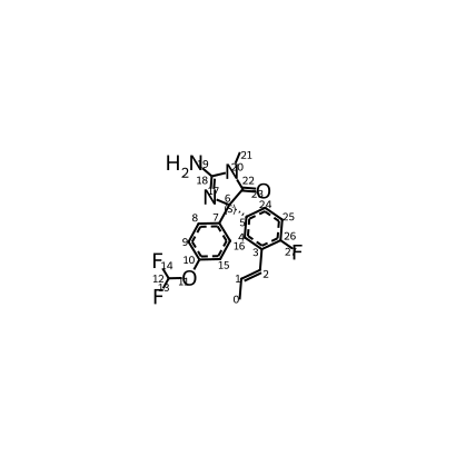 CC=Cc1cc([C@]2(c3ccc(OC(F)F)cc3)N=C(N)N(C)C2=O)ccc1F